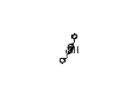 B(OC/C=C/c1ccccc1)OC/C=C/c1ccccc1